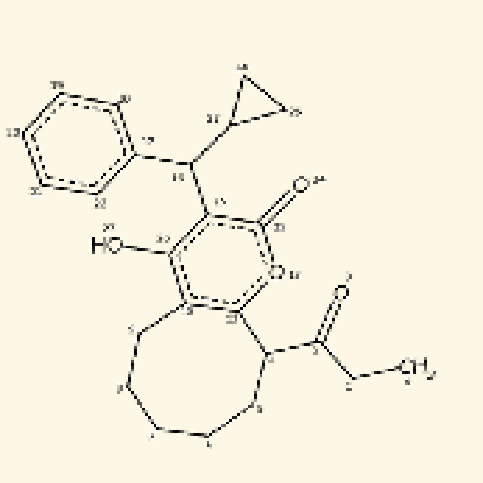 CCC(=O)C1CCCCCc2c1oc(=O)c(C(c1ccccc1)C1CC1)c2O